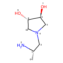 C[C@H](N)CN1C[C@H](O)[C@@H](O)C1